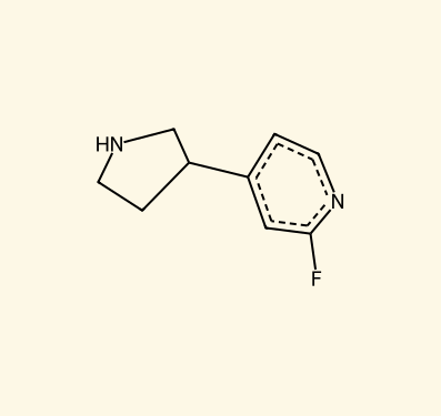 Fc1cc(C2CCNC2)ccn1